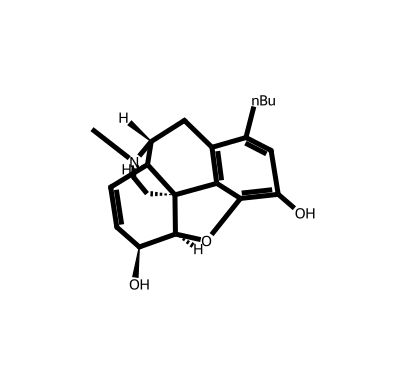 [CH2]CCCc1cc(O)c2c3c1C[C@@H]1[C@@H]4C=C[C@H](O)[C@H](O2)[C@]34CCN1C